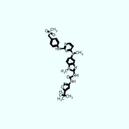 CN(c1ccc2c(c1)nc(NC(=O)Nc1cc(C(C)(C)C)on1)n2C)c1ccnc(Nc2ccc(CS(C)(=O)=O)cc2)n1